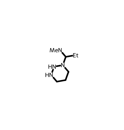 CCC(NC)N1CCCNN1